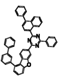 c1ccc(-c2cccc(-c3cccc4oc5cc(-c6nc(-c7ccccc7)nc(-c7ccc(-c8ccccc8)c8ccccc78)n6)ccc5c34)c2)cc1